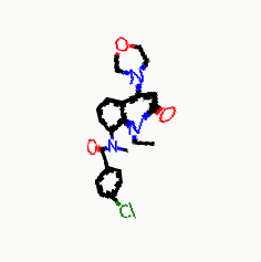 CCn1c(=O)cc(N2CCOCC2)c2cccc(N(C)C(=O)c3ccc(Cl)cc3)c21